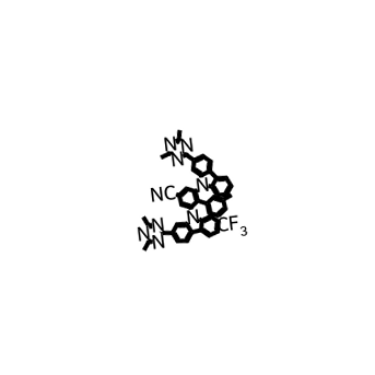 Cc1cc(-c2c(-n3c4ccccc4c4ccc(-c5nc(C)nc(C)n5)cc43)cc(C#N)cc2-n2c3ccccc3c3ccc(-c4nc(C)nc(C)n4)cc32)cc(C(F)(F)F)c1